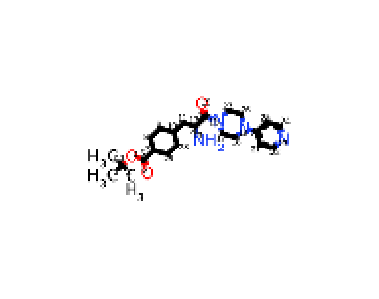 CC(C)(C)OC(=O)C1CCC(C[C@H](N)C(=O)N2CCN(c3ccncc3)CC2)CC1